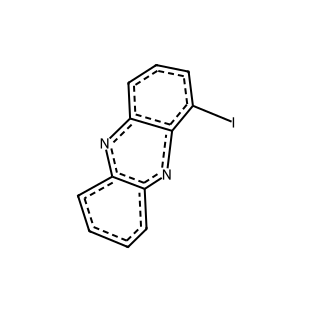 Ic1cccc2nc3ccccc3nc12